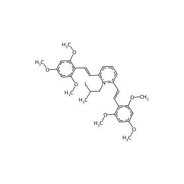 COc1cc(OC)c(/C=C/c2cccc(/C=C/c3c(OC)cc(OC)cc3OC)[n+]2CC(C)I)c(OC)c1